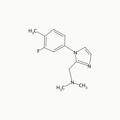 Cc1ccc(-n2ccnc2CN(C)C)cc1F